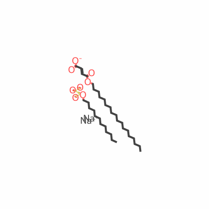 CCCCCCCCCCCCCCCCCCOC(=O)/C=C/C(=O)[O-].CCCCCCCCCCCCOS(=O)(=O)[O-].[Na+].[Na+]